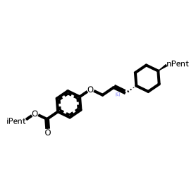 CCCCC[C@H]1CC[C@H](/C=C/COc2ccc(C(=O)OC(C)CCC)cc2)CC1